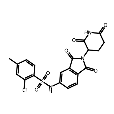 Cc1ccc(S(=O)(=O)Nc2ccc3c(c2)C(=O)N(C2CCC(=O)NC2=O)C3=O)c(Cl)c1